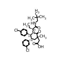 CC[C@@H](C(=O)NCC(C)(C)C)N1C(=O)[C@@](C)(CC(=O)O)C[C@H](c2cccc(Cl)c2)[C@H]1c1ccc(Cl)cc1